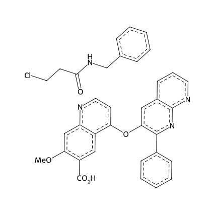 COc1cc2nccc(Oc3cc4cccnc4nc3-c3ccccc3)c2cc1C(=O)O.O=C(CCCl)NCc1ccccc1